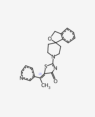 C/C(=C1/SC(N2CCC3(CC2)OCc2ccccc23)=NC1=O)c1cccnc1